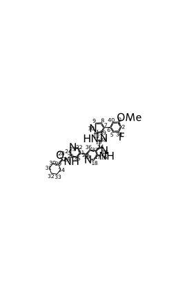 COc1cc(F)cc(-c2ccnc3[nH]c(-c4n[nH]c5cnc(-c6cncc(NC(=O)C7CCCCC7)c6)cc45)nc23)c1